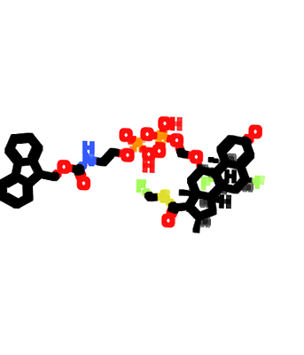 C[C@@H]1C[C@H]2[C@@H]3C[C@H](F)C4=CC(=O)C=C[C@]4(C)[C@@]3(F)[C@@H](OCOP(=O)(O)OP(=O)(O)OCCNC(=O)OCC3c4ccccc4-c4ccccc43)C[C@@]2(C)[C]1C(=O)SCF